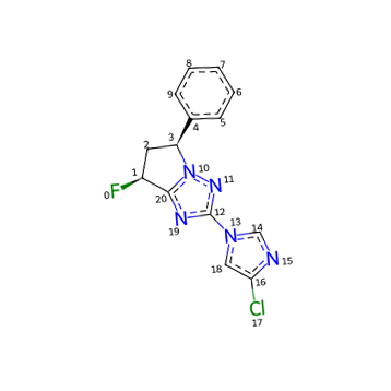 F[C@H]1C[C@@H](c2ccccc2)n2nc(-n3cnc(Cl)c3)nc21